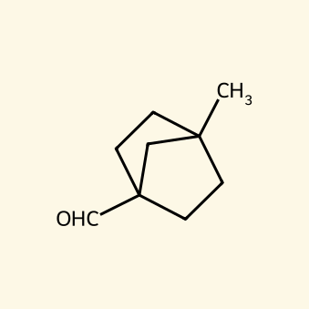 CC12CCC(C=O)(CC1)C2